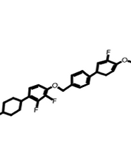 COC1=CCC(c2ccc(COc3ccc(C4CCC(OC)CC4)c(F)c3F)cc2)C=C1F